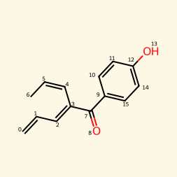 C=C/C=C(\C=C/C)C(=O)c1ccc(O)cc1